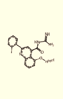 CCCCCOc1cccc2nc(-c3ccccc3C)cc(C(=O)NC(=N)N)c12